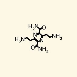 NCCc1nc(C(N)=O)c(CCN)nc1C(N)=O